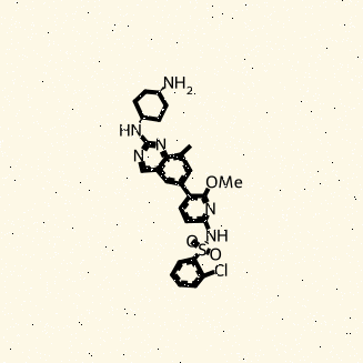 COc1nc(NS(=O)(=O)c2ccccc2Cl)ccc1-c1cc(C)c2nc(N[C@H]3CC[C@@H](N)CC3)ncc2c1